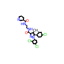 Cc1c(C(=O)NCCNC(=O)c2cccnc2)nn(-c2ccc(Cl)cc2Cl)c1-c1ccc(Cl)cc1